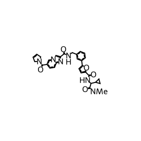 CNC(=O)C(NC(=O)c1ccc(-c2cccc(CNC(=O)c3cn4cc(C(=O)N5CC=CC5)ccc4n3)c2)o1)C1CC1